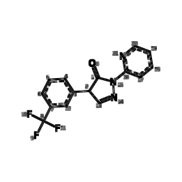 O=C1C(c2cccc(C(F)(F)F)c2)C=NN1c1ccccn1